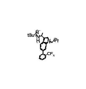 CC(C)Cn1cc(C(C)N[S+]([O-])C(C)(C)C)c2ccc(-c3ccccc3C(F)(F)F)cc21